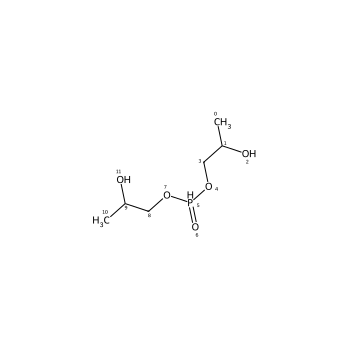 CC(O)CO[PH](=O)OCC(C)O